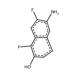 Nc1cc2ccc(O)c(F)c2cc1F